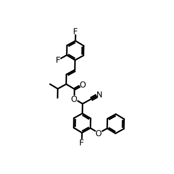 CC(C)C(/C=C/c1ccc(F)cc1F)C(=O)OC(C#N)c1ccc(F)c(Oc2ccccc2)c1